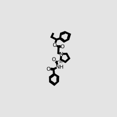 CCC(OC(=O)CN1CCC[C@@H]1C(=O)NC(=O)c1ccccc1)c1ccccc1